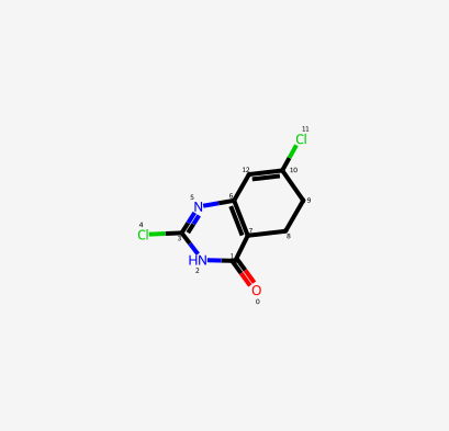 O=c1[nH]c(Cl)nc2c1CCC(Cl)=C2